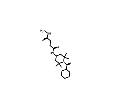 CC1(C)CC(NC(=O)CCC(=O)NN)CC(C)(C)N1C(=O)C1CCCCC1